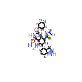 Nc1c(-c2cccc3[nH]ncc23)cc(-c2nccs2)c2nc(Oc3ccccc3)[nH]c(=O)c12